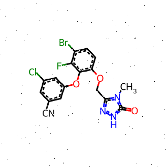 Cn1c(COc2ccc(Br)c(F)c2Oc2cc(Cl)cc(C#N)c2)n[nH]c1=O